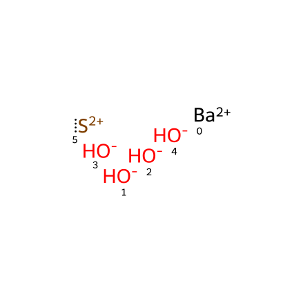 [Ba+2].[OH-].[OH-].[OH-].[OH-].[S+2]